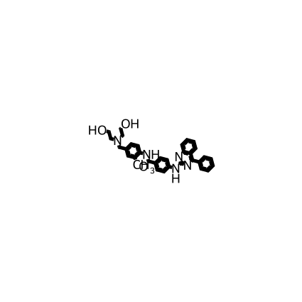 Cc1cc(CN(CCO)CCO)ccc1NC(=O)c1ccc(Nc2nc(-c3ccccc3)c3ccccc3n2)cc1